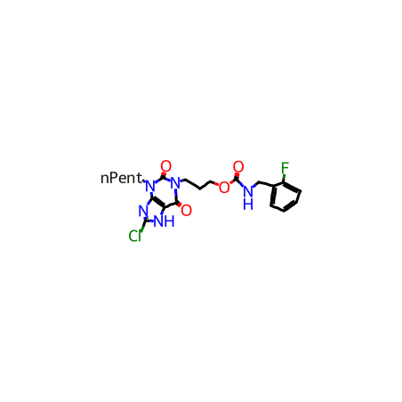 CCCCCn1c(=O)n(CCCOC(=O)NCc2ccccc2F)c(=O)c2[nH]c(Cl)nc21